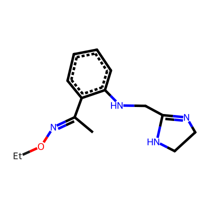 CCO/N=C(\C)c1ccccc1NCC1=NCCN1